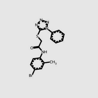 Cc1cc(Br)ccc1NC(=O)CSc1nnnn1-c1ccccc1